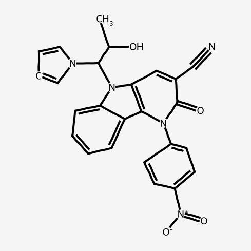 CC(O)C(N1C=[C+]C=C1)n1c2ccccc2c2c1cc(C#N)c(=O)n2-c1ccc([N+](=O)[O-])cc1